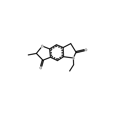 CCN1C(=O)Cc2cc3c(cc21)C(=O)C(C)O3